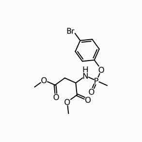 COC(=O)CC(NP(C)(=O)Oc1ccc(Br)cc1)C(=O)OC